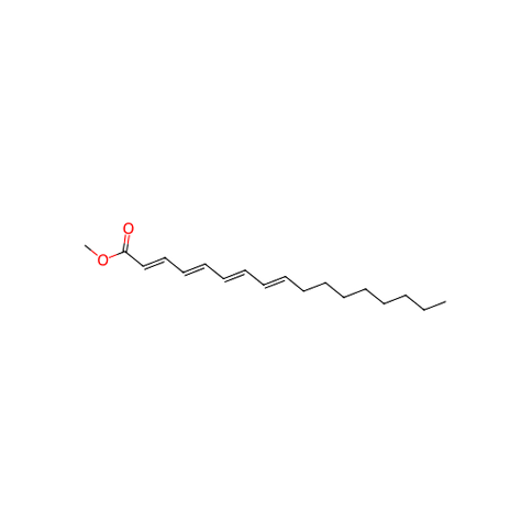 CCCCCCCCC=CC=CC=CC=CC(=O)OC